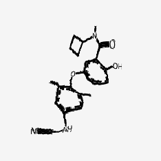 Cc1cc(NC#N)cc(C)c1Oc1ccc(O)c(C(=O)N(C)C2CCC2)c1